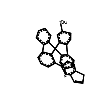 CC(C)(C)c1ccc2c(c1)C1(c3cc(F)ccc3-2)c2ccccc2-c2cccc(-c3ccc4c(c3)C=CC4)c21